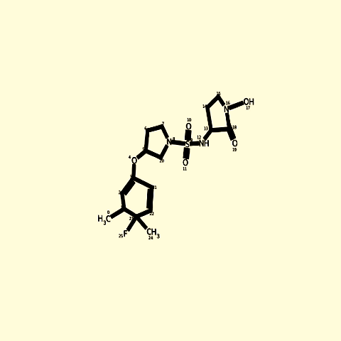 CC1C=C(OC2CCN(S(=O)(=O)NC3CCN(O)C3=O)C2)C=CC1(C)F